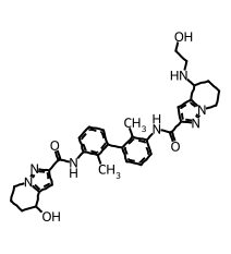 Cc1c(NC(=O)c2cc3n(n2)CCCC3O)cccc1-c1cccc(NC(=O)c2cc3n(n2)CCCC3NCCO)c1C